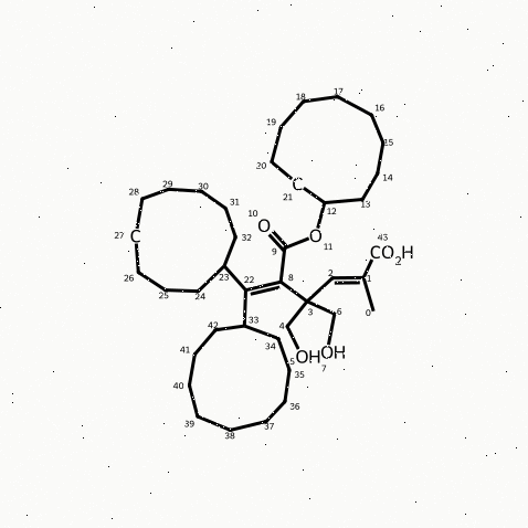 CC(=CC(CO)(CO)C(C(=O)OC1CCCCCCCCC1)=C(C1CCCCCCCCC1)C1CCCCCCCCC1)C(=O)O